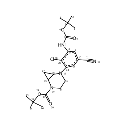 CC(C)(C)OC(=O)Nc1cc(C#N)cc(N2CCN(C(=O)OC(C)(C)C)C3CC32)c1Cl